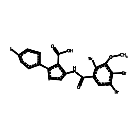 COc1c(Br)c(Br)cc(C(=O)Nc2csc(-c3ccc(I)cc3)c2C(=O)O)c1Br